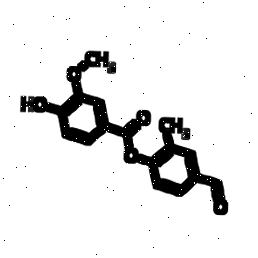 COc1cc(C(=O)Oc2ccc(C=O)cc2C)ccc1O